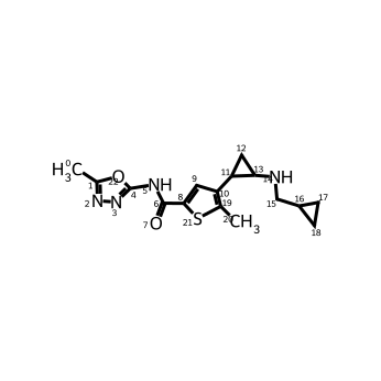 Cc1nnc(NC(=O)c2cc(C3CC3NCC3CC3)c(C)s2)o1